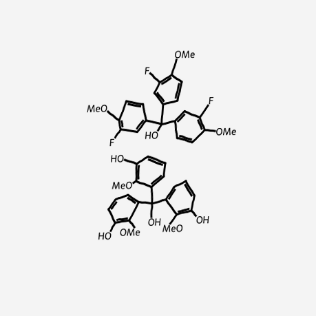 COc1c(O)cccc1C(O)(c1cccc(O)c1OC)c1cccc(O)c1OC.COc1ccc(C(O)(c2ccc(OC)c(F)c2)c2ccc(OC)c(F)c2)cc1F